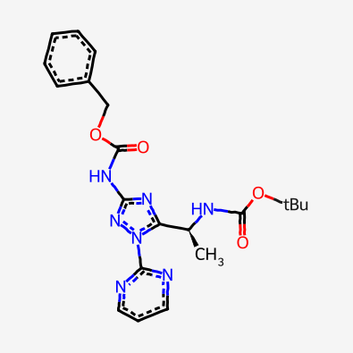 C[C@H](NC(=O)OC(C)(C)C)c1nc(NC(=O)OCc2ccccc2)nn1-c1ncccn1